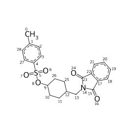 Cc1ccc(S(=O)(=O)OC2CCC(CN3C(=O)c4ccccc4C3=O)CC2)cc1